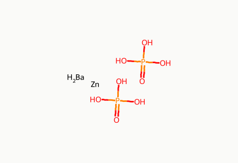 O=P(O)(O)O.O=P(O)(O)O.[BaH2].[Zn]